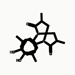 Cc1cc(N2C(=O)C(C)CC23CC(C)C(=O)N3c2ccc(O)c(C)c2)ccc1O